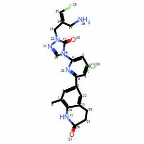 Cc1cc(-c2cccc(-n3cnn(C/C(=C/F)CN)c3=O)n2)cc2c1NC(=O)CC2.Cl